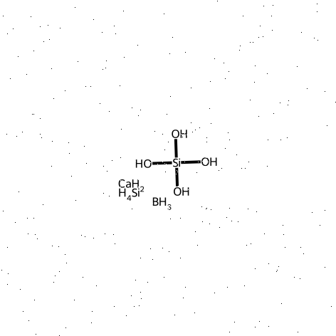 B.O[Si](O)(O)O.[CaH2].[SiH4]